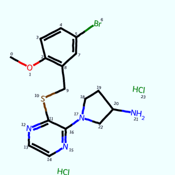 COc1ccc(Br)cc1CSc1nccnc1N1CCC(N)C1.Cl.Cl